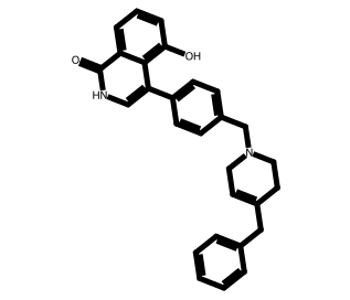 O=c1[nH]cc(-c2ccc(CN3CC=C(Cc4ccccc4)CC3)cc2)c2c(O)cccc12